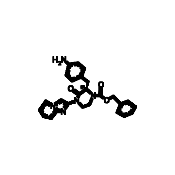 Nc1ccc(C[C@@H]2C(=O)N(c3cn4ccccc4n3)CCN2C(=O)OCc2ccccc2)cc1